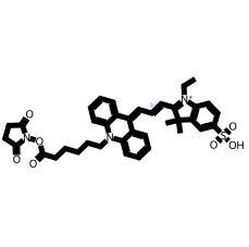 CC[N+]1=C(/C=C/C=C2c3ccccc3N(CCCCCC(=O)ON3C(=O)CCC3=O)c3ccccc32)C(C)(C)c2cc(S(=O)(=O)O)ccc21